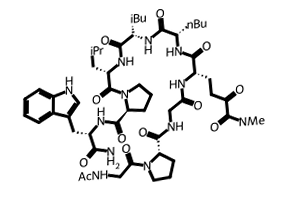 CCCC[C@H](NC(=O)[C@H](CCC(=O)C(=O)NC)NC(=O)CNC(=O)[C@@H]1CCCN1C(=O)CNC(C)=O)C(=O)N[C@H](C(=O)N[C@@H](CC(C)C)C(=O)N1CCC[C@H]1C(=O)N[C@@H](Cc1c[nH]c2ccccc12)C(N)=O)[C@@H](C)CC